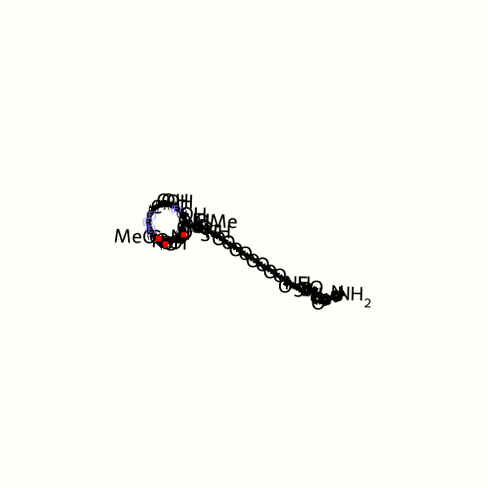 CO[C@H]1C[C@@H]2CC[C@@H](C)[C@@](O)(O2)C(=O)C(=O)N2CCCC[C@H]2C(=O)O[C@H]([C@H](N)C[C@@H]2CC[C@@H](OC(=S)NCCOCCOCCOCCOCCOCCOCCOCCOCCC(=O)NCCSc3ccc(C(=O)N4CCOc5ccc(-c6ccc(N)nc6)cc5C4)c(C)c3F)[C@H](OC)C2)CC(O)[C@H](C)/C=C(\C)[C@@H](O)[C@@H](O)C(=O)[C@H](C)C[C@H](C)/C=C/C=C/C=C/1C